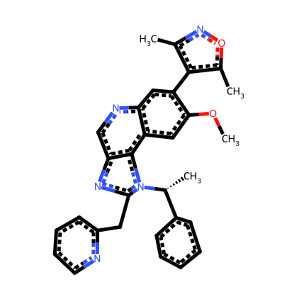 COc1cc2c(cc1-c1c(C)noc1C)ncc1nc(Cc3ccccn3)n([C@H](C)c3ccccc3)c12